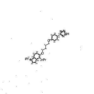 CCCc1c(OCCCCOc2ccc(-c3nn[nH]n3)cc2)ccc2c1ccn2C(C)C